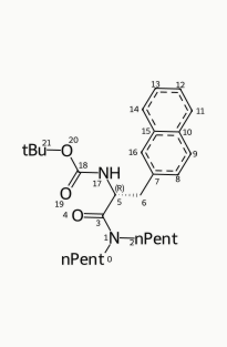 CCCCCN(CCCCC)C(=O)[C@@H](Cc1ccc2ccccc2c1)NC(=O)OC(C)(C)C